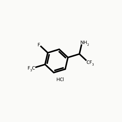 Cl.NC(c1ccc(C(F)(F)F)c(F)c1)C(F)(F)F